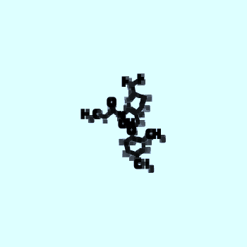 CCC(=O)N(O)c1cc(C(F)F)ccc1COc1ccc(C)cc1C